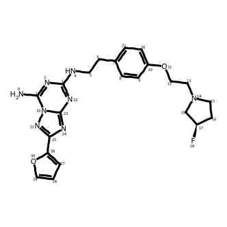 Nc1nc(NCCc2ccc(OCCN3CC[C@@H](F)C3)cc2)nc2nc(-c3ccco3)nn12